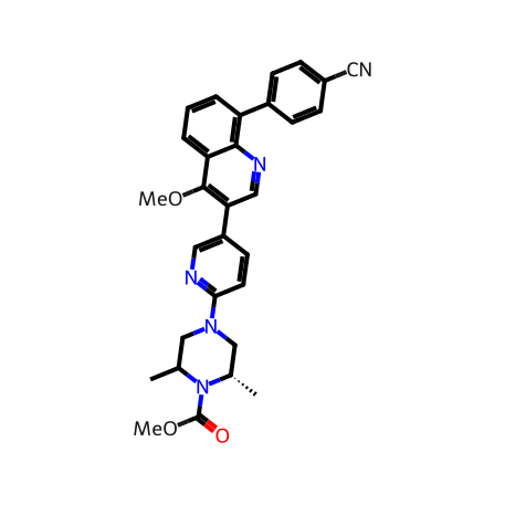 COC(=O)N1C(C)CN(c2ccc(-c3cnc4c(-c5ccc(C#N)cc5)cccc4c3OC)cn2)C[C@@H]1C